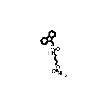 NC(=O)OCCCCNC(=O)OCC1c2ccccc2-c2ccccc21